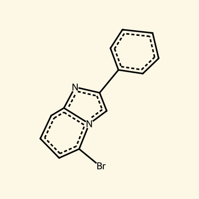 Brc1cccc2nc(-c3ccccc3)cn12